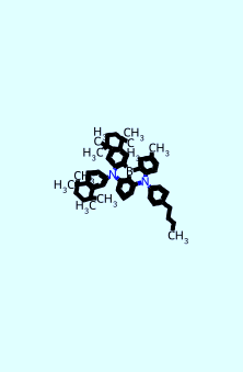 CCCCc1ccc(N2c3ccc(C)cc3B3c4cc5c(cc4N(c4ccc6c(c4)C(C)(C)CCC6(C)C)c4cccc2c43)C(C)(C)CCC5(C)C)cc1